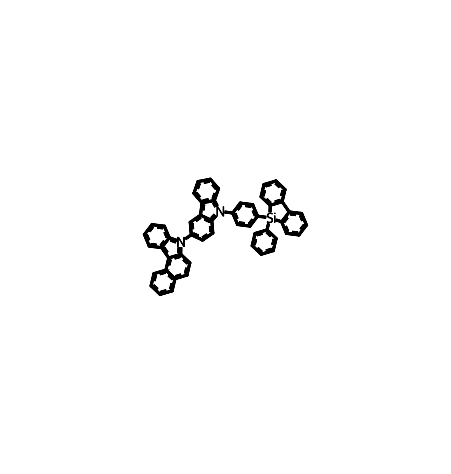 c1ccc([Si]2(c3ccc(-n4c5ccccc5c5cc(-n6c7ccccc7c7c8ccccc8ccc76)ccc54)cc3)c3ccccc3-c3ccccc32)cc1